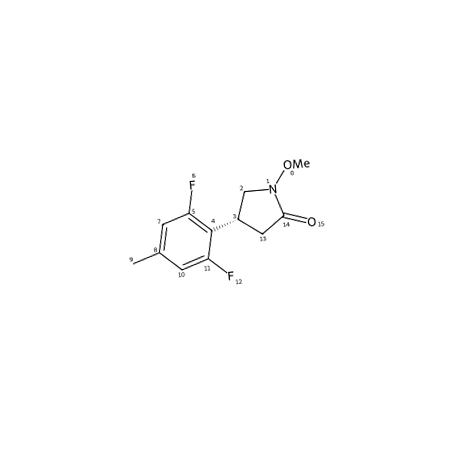 CON1C[C@@H](c2c(F)cc(C)cc2F)CC1=O